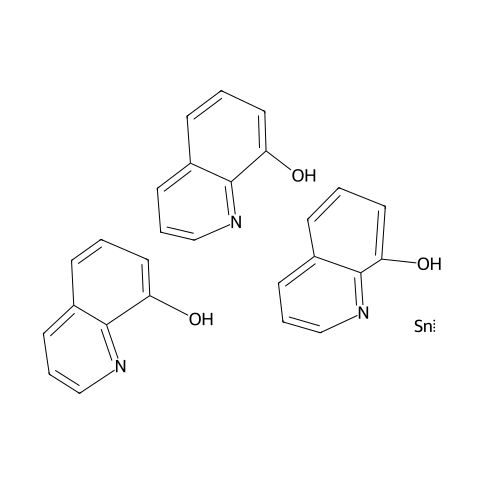 Oc1cccc2cccnc12.Oc1cccc2cccnc12.Oc1cccc2cccnc12.[Sn]